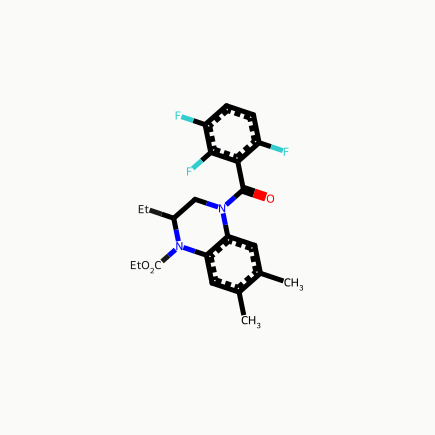 CCOC(=O)N1c2cc(C)c(C)cc2N(C(=O)c2c(F)ccc(F)c2F)CC1CC